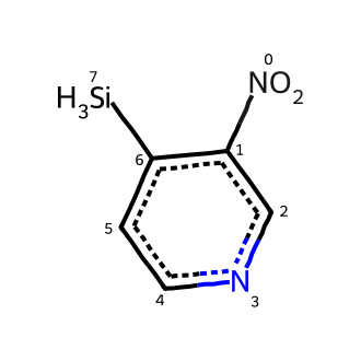 O=[N+]([O-])c1cnccc1[SiH3]